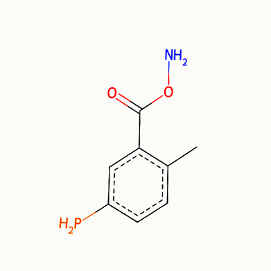 Cc1ccc(P)cc1C(=O)ON